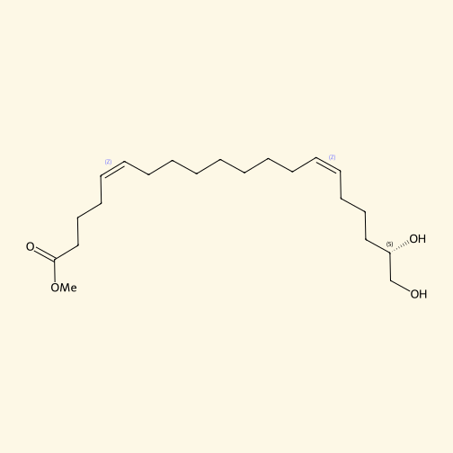 COC(=O)CCC/C=C\CCCCCCC/C=C\CCC[C@H](O)CO